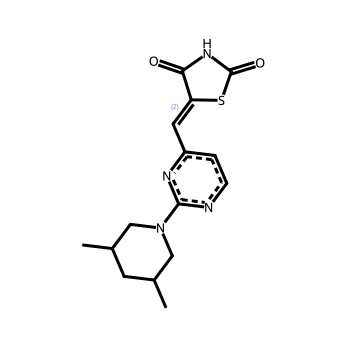 CC1CC(C)CN(c2nccc(/C=C3\SC(=O)NC3=O)n2)C1